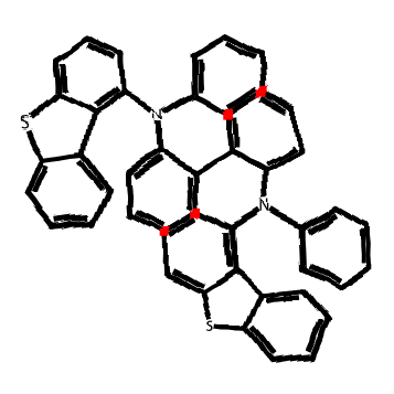 c1ccc(N(c2ccccc2-c2ccccc2N(c2ccccc2)c2cccc3sc4ccccc4c23)c2cccc3sc4ccccc4c23)cc1